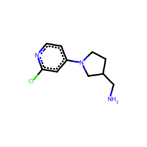 NCC1CCN(c2ccnc(Cl)c2)C1